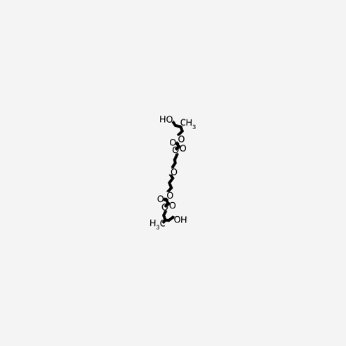 CC(CCO)CCOC(=O)C(=O)OCCCCCOCCCCOC(=O)C(=O)OCCC(C)CCO